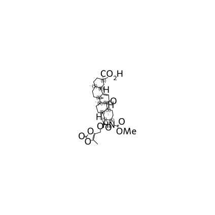 COC(=O)N[C@H]1CC[C@@]2(C)[C@@H](CC[C@]3(C)[C@@H]2C(=O)C=C2[C@@H]4C[C@@](C)(C(=O)O)CC[C@]4(C)CC[C@]23C)[C@]1(C)C(=O)OCc1oc(=O)oc1C